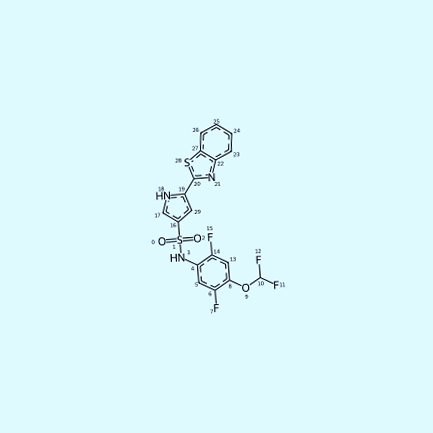 O=S(=O)(Nc1cc(F)c(OC(F)F)cc1F)c1c[nH]c(-c2nc3ccccc3s2)c1